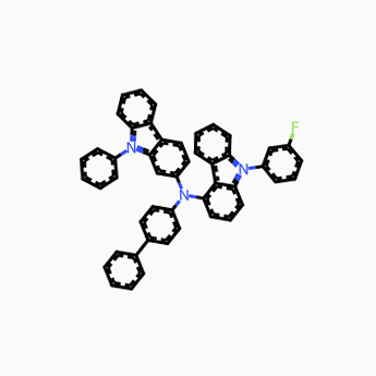 Fc1cccc(-n2c3ccccc3c3c(N(c4ccc(-c5ccccc5)cc4)c4ccc5c6ccccc6n(-c6ccccc6)c5c4)cccc32)c1